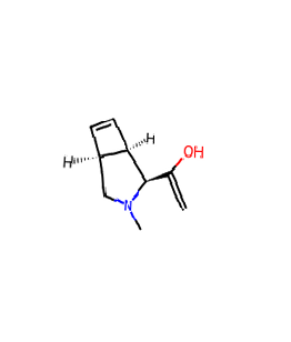 C=C(O)[C@@H]1[C@@H]2C=C[C@@H]2CN1C